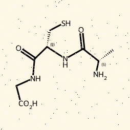 C[C@H](N)C(=O)N[C@@H](CS)C(=O)NCC(=O)O